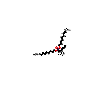 C=CCCC(C(=O)O)P(=O)(OCCCCCCCCCCCCCCCCCC)OCCCCCCCCCCCCCCCCCC